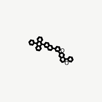 c1ccc(-c2c3ccccc3c(-c3ccc4cc(-c5ccc6oc7cc8c(ccc9oc%10ccccc%10c98)cc7c6c5)ccc4c3)c3ccccc23)cc1